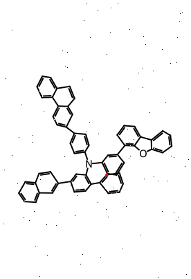 c1ccc(-c2ccc(-c3ccc4ccccc4c3)cc2N(c2ccc(-c3ccc4c(ccc5ccccc54)c3)cc2)c2cccc(-c3cccc4c3oc3ccccc34)c2)cc1